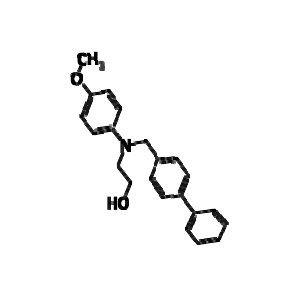 COc1ccc(N(CCO)Cc2ccc(-c3ccccc3)cc2)cc1